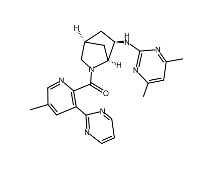 Cc1cnc(C(=O)N2C[C@H]3C[C@@H](Nc4nc(C)cc(C)n4)[C@@H]2C3)c(-c2ncccn2)c1